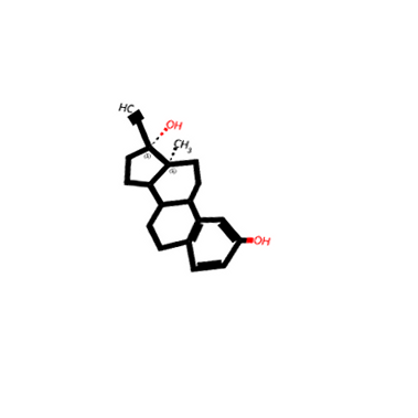 C#C[C@]1(O)CCC2C3CCc4ccc(O)cc4C3CC[C@@]21C